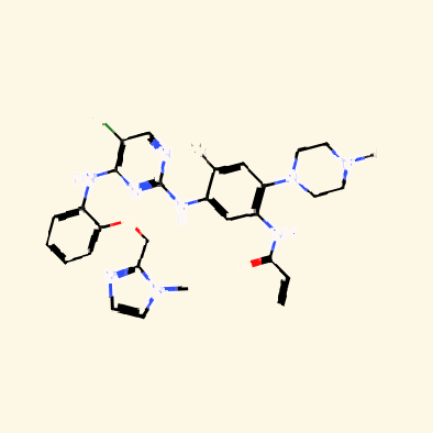 C=CC(=O)Nc1cc(Nc2ncc(Cl)c(Nc3ccccc3OCc3nccn3C)n2)c(OC)cc1N1CCN(CC)CC1